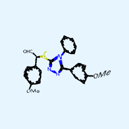 COc1ccc(-c2nnc(SC(C=O)c3ccc(OC)cc3)n2-c2ccccc2)cc1